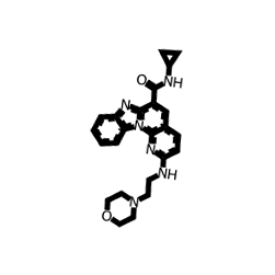 O=C(NC1CC1)c1cc2ccc(NCCN3CCOCC3)nc2n2c1nc1ccccc12